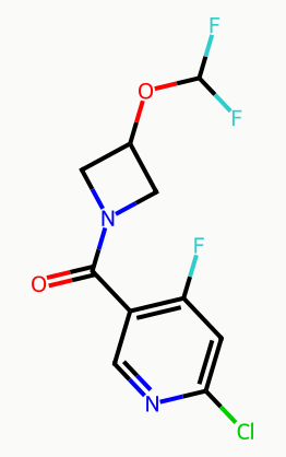 O=C(c1cnc(Cl)cc1F)N1CC(OC(F)F)C1